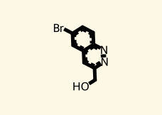 OCc1cc2cc(Br)ccc2nn1